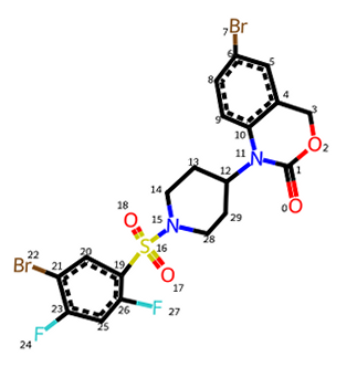 O=C1OCc2cc(Br)ccc2N1C1CCN(S(=O)(=O)c2cc(Br)c(F)cc2F)CC1